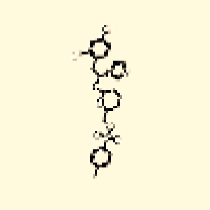 Cc1ccc(S(=O)(=O)OCC2CCCC(OC(Cc3ccc(Cl)cc3Cl)n3ccnc3)O2)cc1